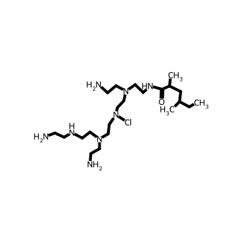 CCC(C)CC(C)C(=O)NCCN(CCN)CCN(Cl)CCN(CCN)CCNCCN